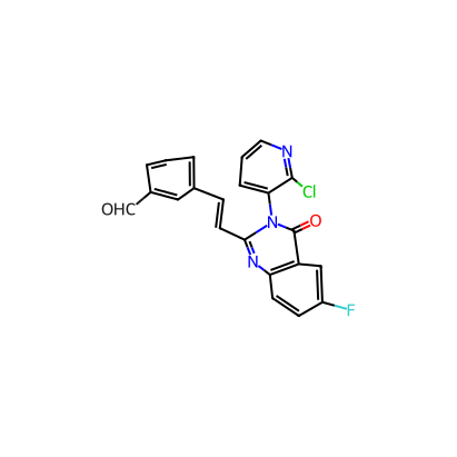 O=Cc1cccc(C=Cc2nc3ccc(F)cc3c(=O)n2-c2cccnc2Cl)c1